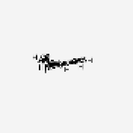 CC(=O)NCC(F)C(C)(C)OCCOCCNCCOCCNCS